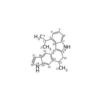 CC(C)c1cccc2[nH]c(CC(C)c3ccc4c#c[nH]c4c3)cc12